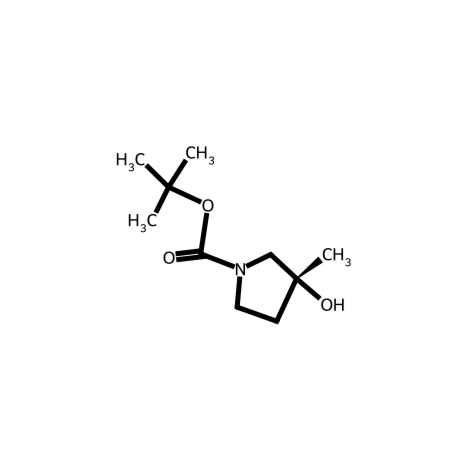 CC(C)(C)OC(=O)N1CC[C@@](C)(O)C1